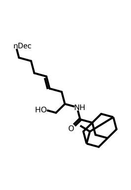 CCCCCCCCCCCCC/C=C/CC(CO)NC(=O)C12CC3CC(C1)C(C)C(C3)C2